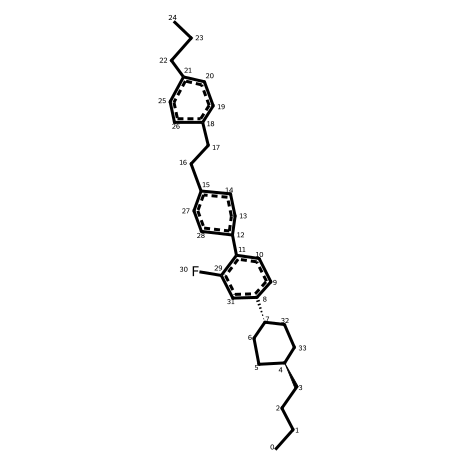 CCCC[C@H]1CC[C@H](c2ccc(-c3ccc(CCc4ccc(CCC)cc4)cc3)c(F)c2)CC1